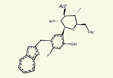 CC(=O)OC[C@H]1O[C@@H](c2cc(Cc3cc4ccccc4s3)c(F)cc2OC(C)=O)[C@H](OC(C)=O)[C@@H](OC(C)=O)[C@@H]1C